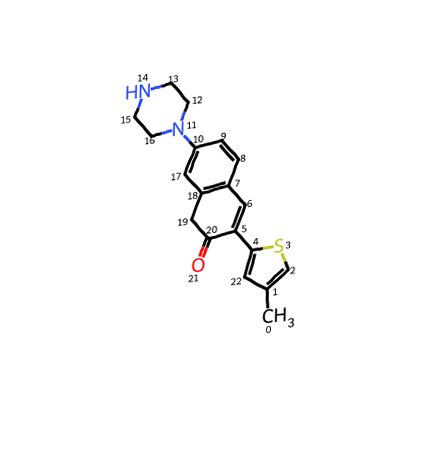 Cc1csc(C2=Cc3ccc(N4CCNCC4)cc3CC2=O)c1